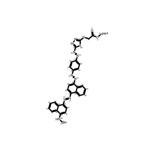 CCCCCCOC(=O)CSc1nnc(/N=N/c2ccc(/N=N/c3ccc(/N=N/c4ccc(NC(C)CC)c5ccccc45)c4ccccc34)cc2)s1